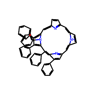 C1=Cc2cc3c(-c4ccccc4)c(-c4ccccc4)c(c(-c4ccccc4)c4nc(cc5ccc(cc1n2)[nH]5)C=C4c1ccccc1)n3-c1ccccc1